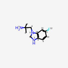 CC(C)(N)CN1[CH]Nc2ccc(F)cc21